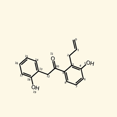 C=CCc1c(O)cccc1C(=O)Cc1ccccc1O